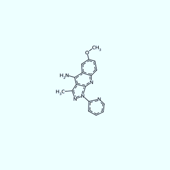 COc1ccc2nc3c(c(C)nn3-c3ccccn3)c(N)c2c1